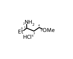 CCC(N)CCOC.Cl